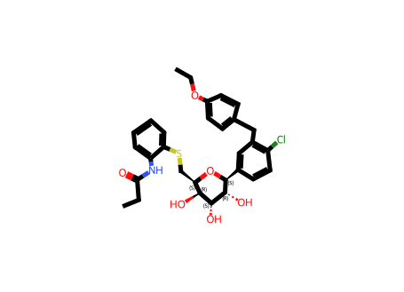 CCOc1ccc(Cc2cc([C@@H]3O[C@H](CSc4ccccc4NC(=O)CC)[C@H](O)[C@@H](O)[C@H]3O)ccc2Cl)cc1